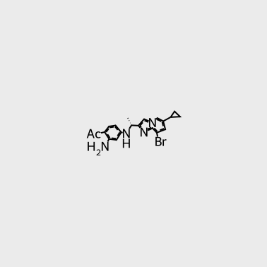 CC(=O)c1ccc(N[C@H](C)c2cn3cc(C4CC4)cc(Br)c3n2)cc1N